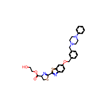 O=C(OCCO)C1CSC(c2nc3ccc(OCc4cccc(CN5CCN(c6ccccc6)CC5)c4)cc3s2)=N1